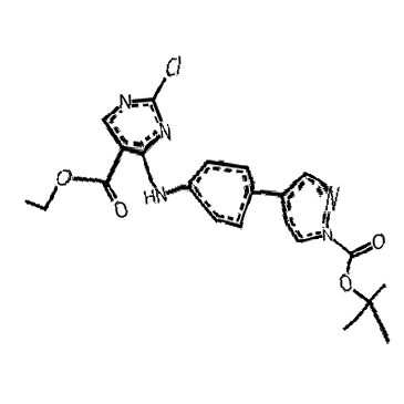 CCOC(=O)c1cnc(Cl)nc1Nc1ccc(-c2cnn(C(=O)OC(C)(C)C)c2)cc1